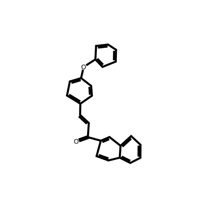 O=C(/C=C/c1ccc(Oc2ccccc2)cc1)c1ccc2ccccc2c1